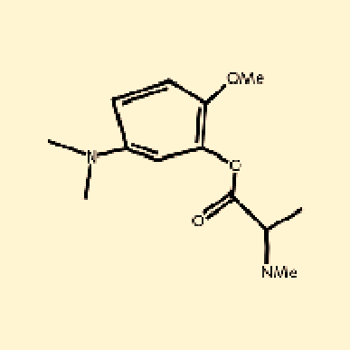 CNC(C)C(=O)Oc1cc(N(C)C)ccc1OC